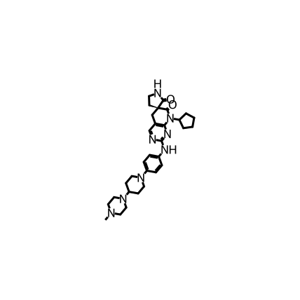 CN1CCN(C2CCN(c3ccc(Nc4ncc5c(n4)N(C4CCCC4)C(=O)[C@]4(CCNC4=O)C5)cc3)CC2)CC1